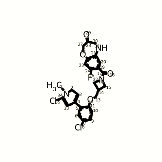 CN1CC=C(c2cc(Cl)ccc2OCC2CN(C(=O)c3cc4c(cc3F)OCC(=O)CN4)C2)C=C1Cl